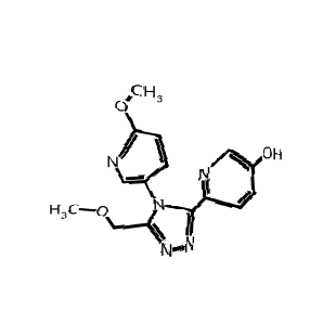 COCc1nnc(-c2ccc(O)cn2)n1-c1ccc(OC)nc1